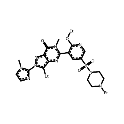 CCOc1ncc(S(=O)(=O)N2CCN(CC)CC2)cc1-c1nc2c(CC)n(-c3nccn3C)nc2c(=O)n1C